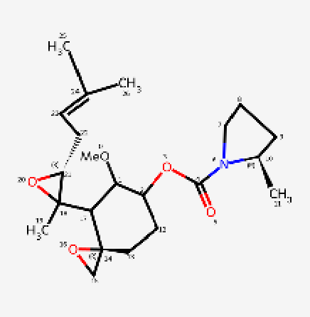 COC1C(OC(=O)N2CCC[C@H]2C)CC[C@]2(CO2)C1C1(C)O[C@@H]1CC=C(C)C